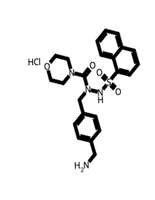 Cl.NCc1ccc(CN(NS(=O)(=O)c2cccc3ccccc23)C(=O)N2CCOCC2)cc1